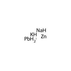 [KH].[NaH].[PbH2].[Zn]